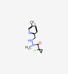 CN(NCc1ccc(C(F)(F)F)cn1)C(=O)C1(F)CC1